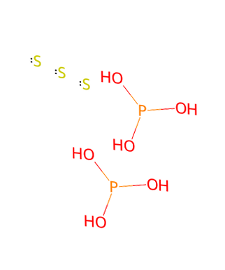 OP(O)O.OP(O)O.[S].[S].[S]